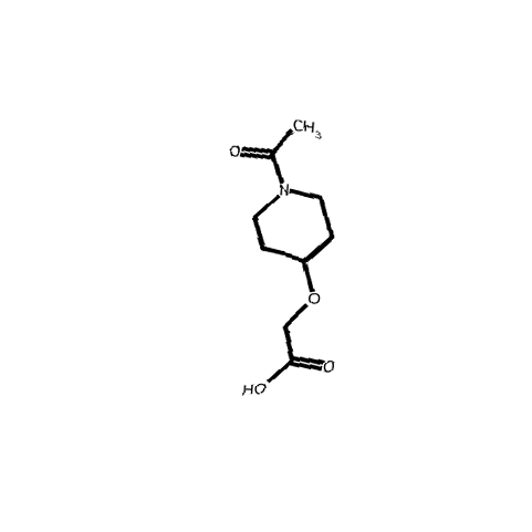 CC(=O)N1CCC(OCC(=O)O)CC1